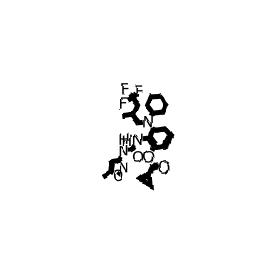 Cc1cc(NC(=O)Nc2c(OC(=O)C3CC3)cccc2N(CC(C)CC(F)(F)F)C2CCCCC2)no1